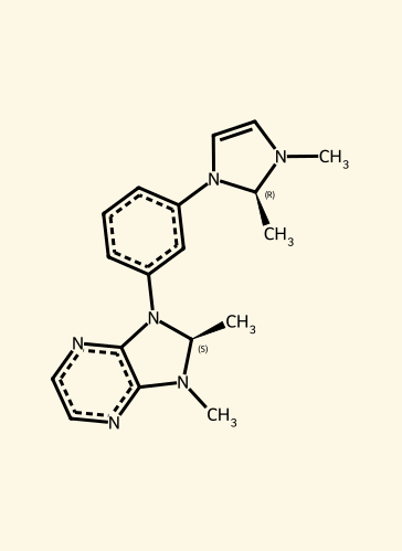 C[C@@H]1N(C)C=CN1c1cccc(N2c3nccnc3N(C)[C@@H]2C)c1